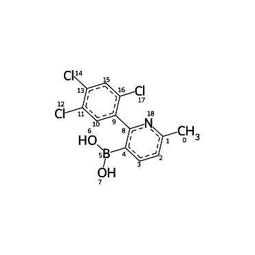 Cc1ccc(B(O)O)c(-c2cc(Cl)c(Cl)cc2Cl)n1